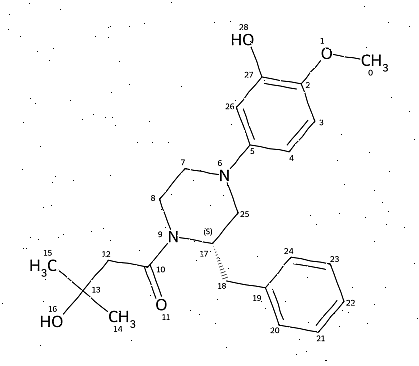 COc1ccc(N2CCN(C(=O)CC(C)(C)O)[C@@H](Cc3ccccc3)C2)cc1O